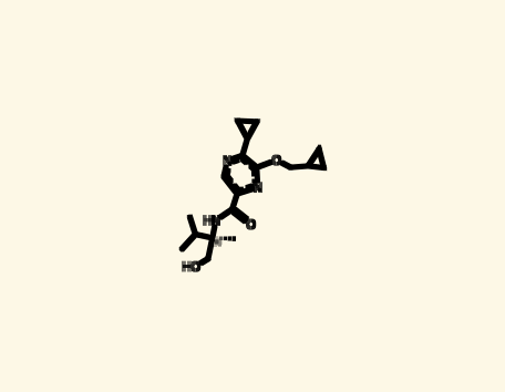 CC(C)[C@](C)(CO)NC(=O)c1cnc(C2CC2)c(OCC2CC2)n1